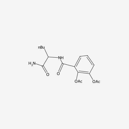 CCCCC(NC(=O)c1cccc(OC(C)=O)c1OC(C)=O)C(N)=O